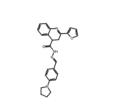 O=C(N/N=C/c1ccc(N2CCCC2)cc1)C1CC(c2ccco2)=Nc2ccccc21